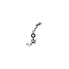 [N-]=[N+]=NCCCOc1ccc(-c2nnc(N)s2)cc1